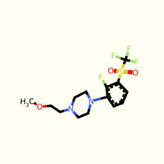 COCCN1CCN(c2cccc(S(=O)(=O)C(F)(F)F)c2F)CC1